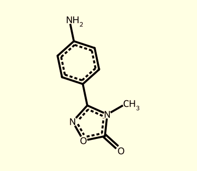 Cn1c(-c2ccc(N)cc2)noc1=O